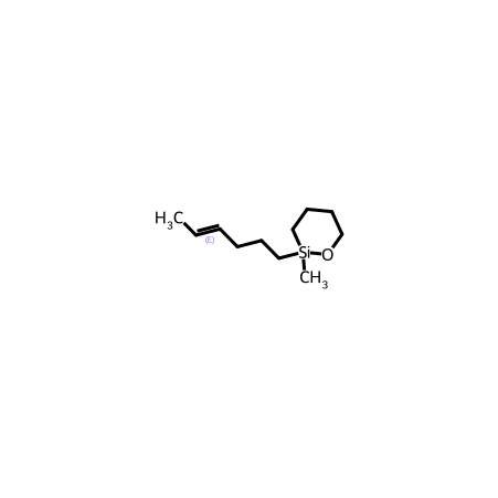 C/C=C/CCC[Si]1(C)CCCCO1